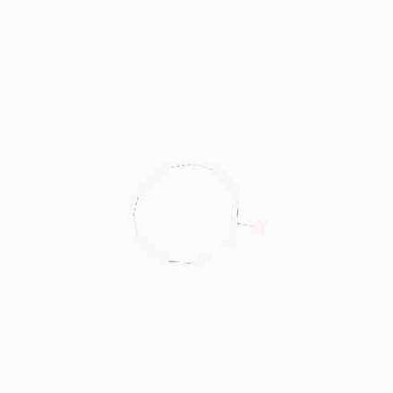 OC1[CH]CCCCCCCCCCCCC1